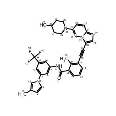 Cc1ccn(-c2cc(NC(=O)c3cccc(C#Cc4cnc5ccc(N6CCC(O)CC6)nn45)c3C)cc(C(F)(F)F)c2)c1